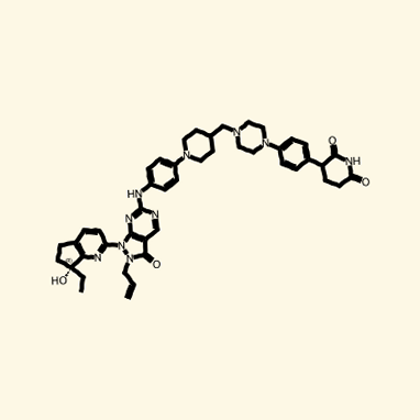 C=CCn1c(=O)c2cnc(Nc3ccc(N4CCC(CN5CCN(c6ccc(C7CCC(=O)NC7=O)cc6)CC5)CC4)cc3)nc2n1-c1ccc2c(n1)[C@@](O)(CC)CC2